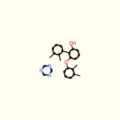 Cc1cccc(Oc2cccc(O)c2-c2cccc(C)c2C)c1C.c1ncncn1